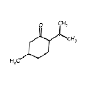 C[C](C)C1CCC(C)CC1=O